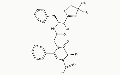 CC(C)C(=O)N1C=C(c2ccccc2)N(CC(=O)N[C@@H](Cc2ccccc2)C(O)C2=NC(C)(C)CO2)C(=O)[C@H]1C(C)C